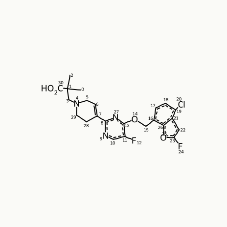 CC(C)(CN1CC=C(c2ncc(F)c(OCc3ccc(Cl)c4cc(F)oc34)n2)CC1)C(=O)O